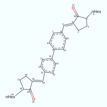 CCCCCCC1CC/C(=C\c2ccc(-c3ccc(/C=C4\CCC(CCCCCC)C4=O)cc3)cc2)C1=O